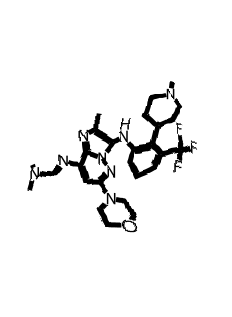 Cc1nc2c(/N=C/N(C)C)cc(N3CCOCC3)nn2c1Nc1cccc(C(F)(F)F)c1C1CCN(C)CC1